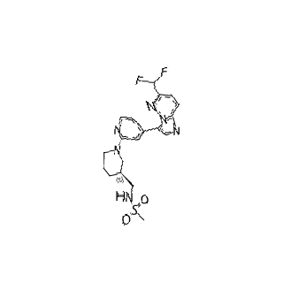 CS(=O)(=O)NC[C@H]1CCCN(c2cc(-c3cnc4ccc(C(F)F)nn34)ccn2)C1